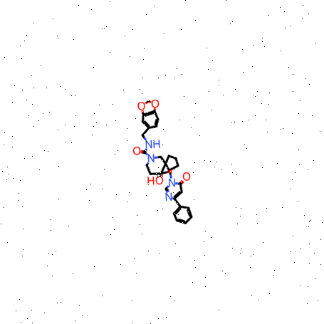 O=C(NCc1ccc2c(c1)OCO2)N1CC[C@@](O)(Cn2cnc(-c3ccccc3)cc2=O)C2(CCCC2)C1